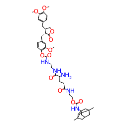 COc1ccc(C[C@H]2COC(=O)[C@@H]2Cc2ccc(OC(=O)NCCNC(=O)[C@@H](N)CCC(=O)NCCOC(=O)NC34CC5CC(C)(CC(C)(C5)C3)C4)c(OC)c2)cc1OC